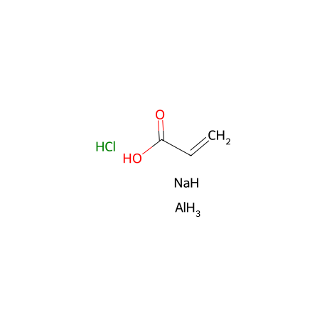 C=CC(=O)O.Cl.[AlH3].[NaH]